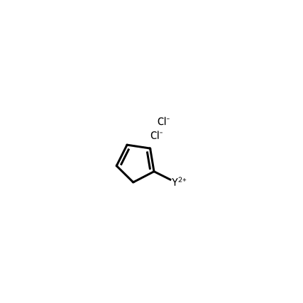 [Cl-].[Cl-].[Y+2][C]1=CC=CC1